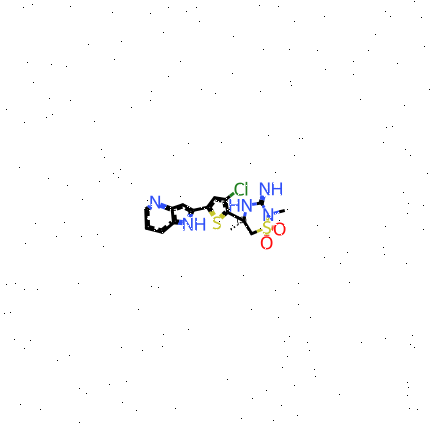 CN1C(=N)N[C@](C)(c2sc(-c3cc4ncccc4[nH]3)cc2Cl)CS1(=O)=O